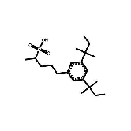 CCC(C)(C)c1cc(CCCC(C)S(=O)(=O)O)cc(C(C)(C)CC)c1